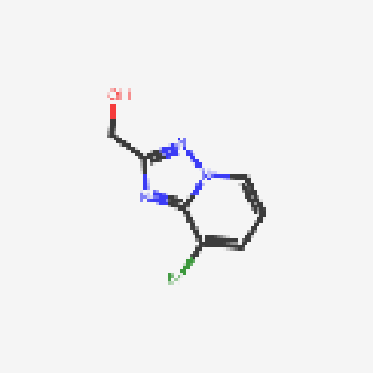 OCc1nc2c(Br)cccn2n1